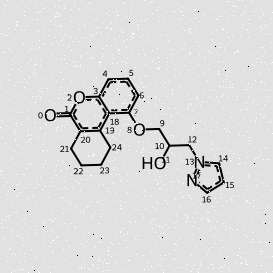 O=c1oc2cccc(OCC(O)Cn3cccn3)c2c2c1CCCC2